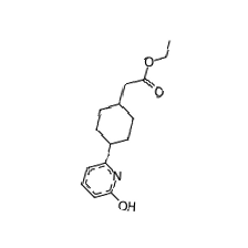 CCOC(=O)CC1CCC(c2cccc(O)n2)CC1